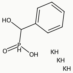 O=[PH](O)C(O)c1ccccc1.[KH].[KH].[KH]